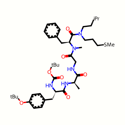 CSCCCN(CCC(C)C)C(=O)[C@H](Cc1ccccc1)N(C)C(=O)CNC(=O)[C@@H](C)NC(=O)[C@H](Cc1ccc(OC(C)(C)C)cc1)NC(=O)OC(C)(C)C